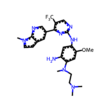 COc1cc(N(C)CCN(C)C)c(N)cc1Nc1ncc(C(F)(F)F)c(-c2cnc3c(ccn3C)c2)n1